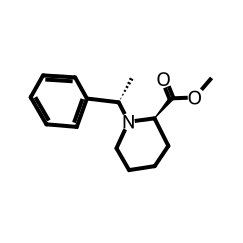 COC(=O)[C@H]1CCCCN1[C@@H](C)c1ccccc1